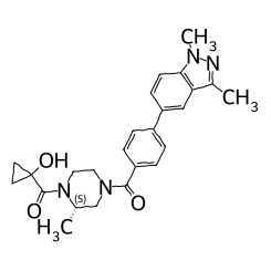 Cc1nn(C)c2ccc(-c3ccc(C(=O)N4CCN(C(=O)C5(O)CC5)[C@@H](C)C4)cc3)cc12